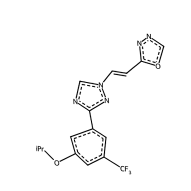 CC(C)Oc1cc(-c2ncn(C=Cc3nnco3)n2)cc(C(F)(F)F)c1